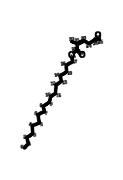 CCCCCCCCCCCCCCCCCCOC(=O)C(C)=CCC1CO1